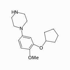 COc1ccc(N2CCNCC2)cc1OC1CCCC1